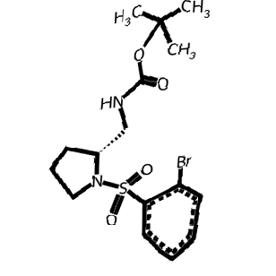 CC(C)(C)OC(=O)NC[C@H]1CCCN1S(=O)(=O)c1ccccc1Br